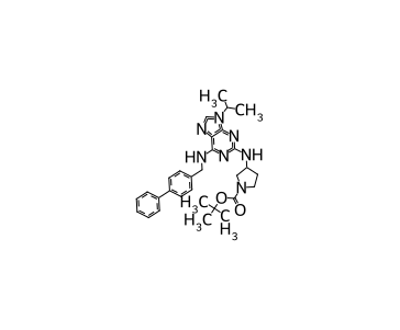 CC(C)n1cnc2c(NCc3ccc(-c4ccccc4)cc3)nc(NC3CCN(C(=O)OC(C)(C)C)C3)nc21